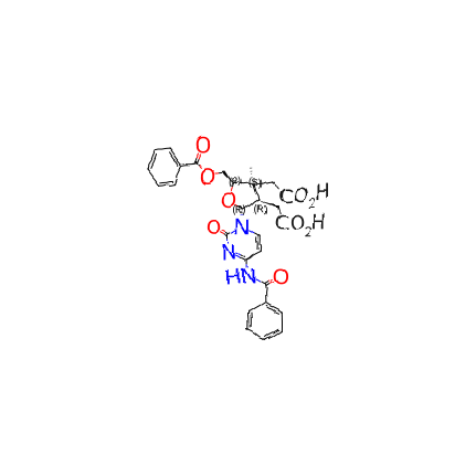 C[C@@]1(CC(=O)O)[C@H](COC(=O)c2ccccc2)O[C@@H](n2ccc(NC(=O)c3ccccc3)nc2=O)[C@@H]1CC(=O)O